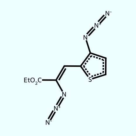 CCOC(=O)/C(=C/c1sccc1N=[N+]=[N-])N=[N+]=[N-]